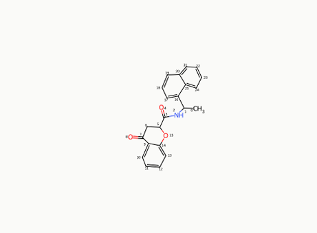 CC(NC(=O)C1CC(=O)c2ccccc2O1)c1cccc2ccccc12